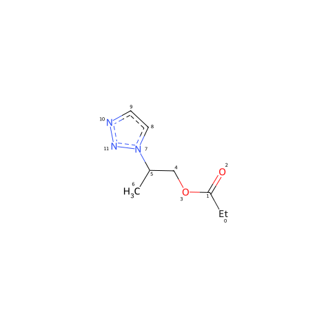 CCC(=O)OCC(C)n1ccnn1